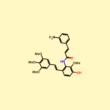 COc1cc(/C=C/c2ccc(O)c(OC)c2NC(=O)/C=C/c2cccc([N+](=O)[O-])c2)cc(OC)c1OC